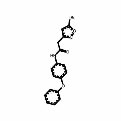 CC(C)(C)c1cc(CC(=O)Nc2ccc(Oc3ccccc3)cc2)no1